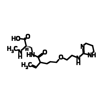 C=CC(CCCOCCNC1=NCCCN1)C(=O)NC[C@H](NC)C(=O)O